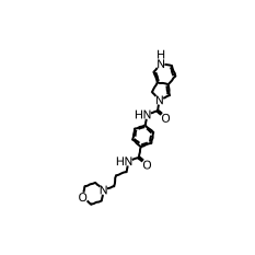 O=C(NCCCN1CCOCC1)c1ccc(NC(=O)N2C=C3C=CNC=C3C2)cc1